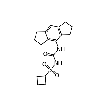 O=C(Nc1c2c(cc3c1CCC3)CCC2)NS(=O)(=O)C1CCC1